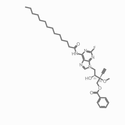 C#C[C@](COC(=O)c1ccccc1)(OC)[C@@H](O)Cn1cnc2c(NC(=O)CCCCCCCCCCCCC)nc(F)nc21